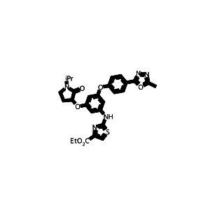 CCOC(=O)c1csc(Nc2cc(Oc3ccc(-c4nnc(C)o4)cc3)cc(OC3CCN(C(C)C)C3=O)c2)n1